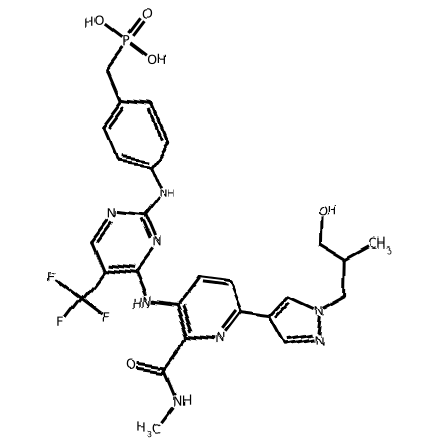 CNC(=O)c1nc(-c2cnn(CC(C)CO)c2)ccc1Nc1nc(Nc2ccc(CP(=O)(O)O)cc2)ncc1C(F)(F)F